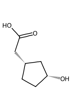 O=C(O)C[C@H]1CC[C@@H](O)C1